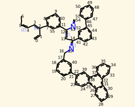 C=C/C(=C\C=C/C)c1cccc(/C(=C/C(=N\Cc2cccc(-c3ccc4c5ccccc5c5ccccc5c4c3)c2)c2cccc(-c3ccccc3)c2)N=C)c1